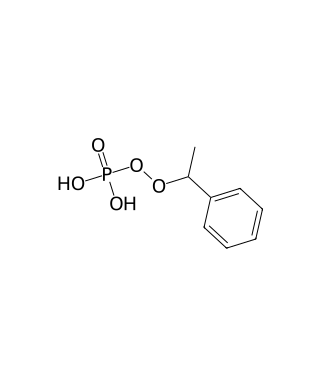 CC(OOP(=O)(O)O)c1ccccc1